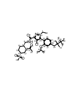 CCn1nc(C(=O)NC[C@@H]2CC[C@@H](S(C)(=O)=O)CN2C(C)=O)c(Cl)c1-c1ccc(CC(C)(C)C(F)(F)F)cc1OC(F)F